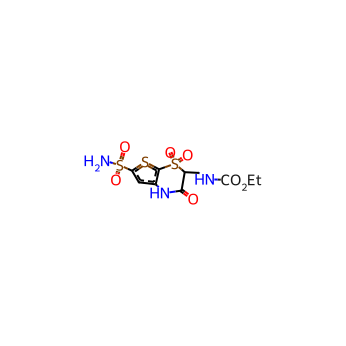 CCOC(=O)NCC1C(=O)Nc2cc(S(N)(=O)=O)sc2S1(=O)=O